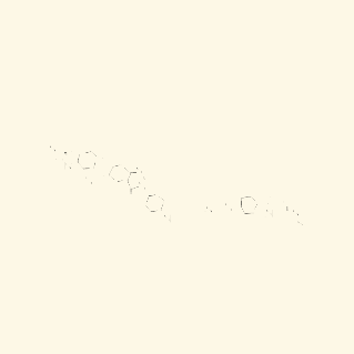 CN(c1ccc(-n2cnc3ccc(Oc4c(F)ccc(NS(=O)(=O)N5CC[C@@H](F)C5)c4C#N)cc3c2=O)cc1)[C@H]1CC[C@H](N2CCN(c3ccc4c(c3)CN([C@H]3CCC(=O)NC3=O)C4=O)CC2)CC1